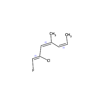 C\C=C/C(C)=C\C(Cl)=C\F